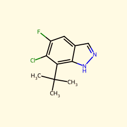 CC(C)(C)c1c(Cl)c(F)cc2cn[nH]c12